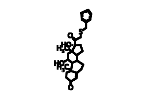 CC12CCC(=O)C=C1CCC1C2[C@@H](O)CC2(C)C1CC[C@]2(O)C(=O)CSCc1ccccc1